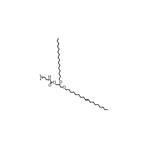 CCCCCCCCC=CCCCCCCCCOCC(COC(=O)NCCN(C)C)OCCCCCCCCCCCCCCCC